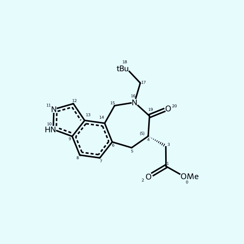 COC(=O)C[C@@H]1Cc2ccc3[nH]ncc3c2CN(CC(C)(C)C)C1=O